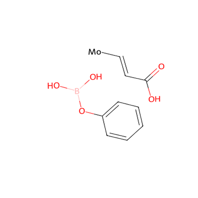 O=C(O)C=[CH][Mo].OB(O)Oc1ccccc1